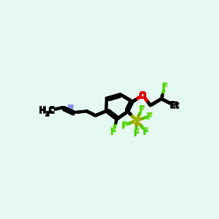 C/C=C/CCc1ccc(OCC(F)CC)c(S(F)(F)(F)(F)F)c1F